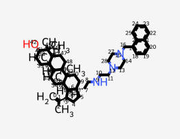 C=C(C)[C@@H]1CC[C@]2(CCNCCN3CCN(Cc4cccc5ccccc45)CC3)CC[C@]3(C)[C@H](CC[C@@H]4[C@@]5(C)CC[C@H](O)C(C)(C)[C@@H]5CC[C@]43C)[C@@H]12